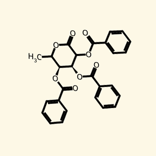 CC1OC(=O)C(OC(=O)c2ccccc2)[C@@H](OC(=O)c2ccccc2)[C@H]1OC(=O)c1ccccc1